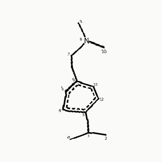 CC(C)c1ccc(CN(C)C)cc1